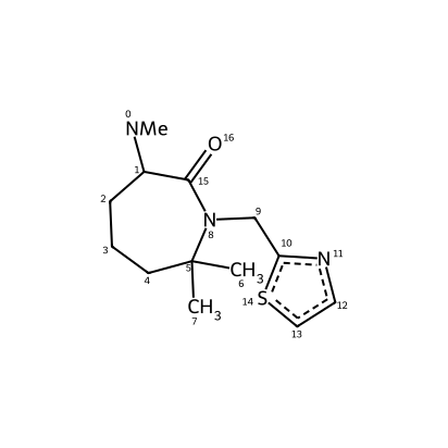 CNC1CCCC(C)(C)N(Cc2nccs2)C1=O